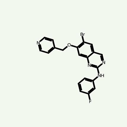 Fc1cccc(Nc2ncc3cc(Br)c(OCc4ccncc4)cc3n2)c1